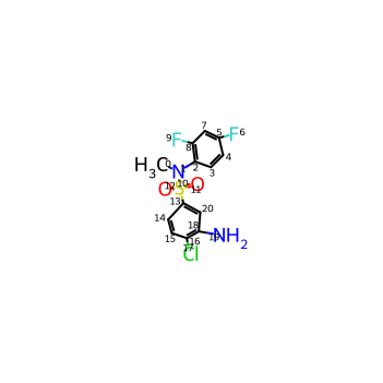 CN(c1ccc(F)cc1F)S(=O)(=O)c1ccc(Cl)c(N)c1